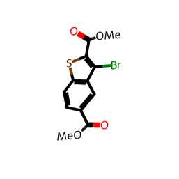 COC(=O)c1ccc2sc(C(=O)OC)c(Br)c2c1